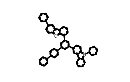 c1ccc(-c2ccc(-c3cc(-c4ccc5c(c4)c4ccccc4n5-c4ccccc4)cc(-c4cccc5c4oc4ccc(-c6ccccc6)cc45)c3)cc2)cc1